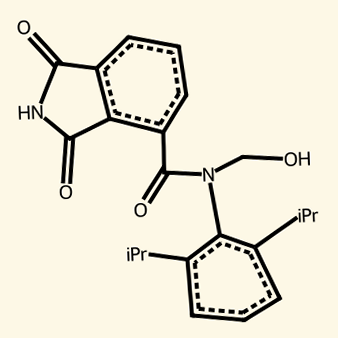 CC(C)c1cccc(C(C)C)c1N(CO)C(=O)c1cccc2c1C(=O)NC2=O